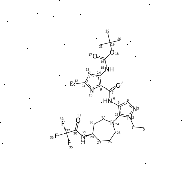 CCn1ncc(NC(=O)c2nc(Br)sc2NC(=O)OC(C)(C)C)c1N1CCC[C@@H](NC(=O)C(F)(F)F)CC1